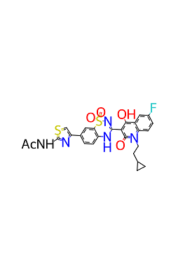 CC(=O)Nc1nc(-c2ccc3c(c2)S(=O)(=O)N=C(c2c(O)c4cc(F)ccc4n(CCC4CC4)c2=O)N3)cs1